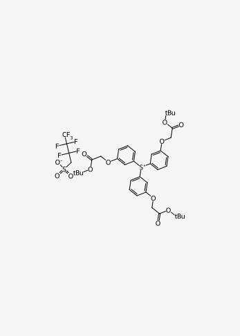 CC(C)(C)OC(=O)COc1cccc([S+](c2cccc(OCC(=O)OC(C)(C)C)c2)c2cccc(OCC(=O)OC(C)(C)C)c2)c1.O=S(=O)([O-])CC(F)(F)C(F)(F)C(F)(F)F